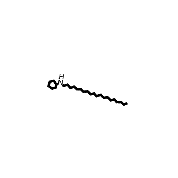 CCCCCCCCCCCCCCCCCCCCNC1CCCCC1